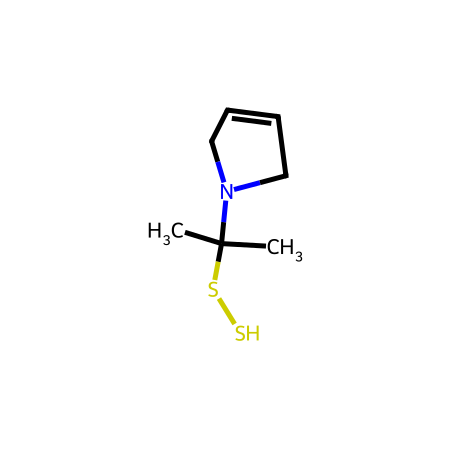 CC(C)(SS)N1CC=CC1